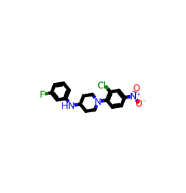 O=[N+]([O-])c1ccc(N2CCC(Nc3cccc(F)c3)CC2)c(Cl)c1